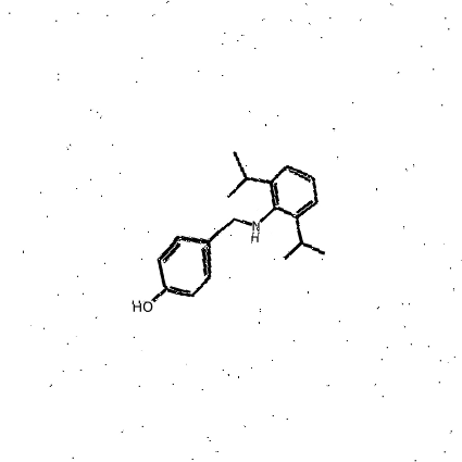 CC(C)c1cccc(C(C)C)c1NCc1ccc(O)cc1